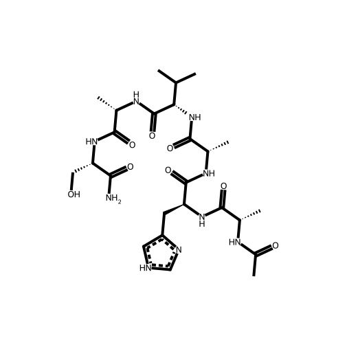 CC(=O)N[C@@H](C)C(=O)N[C@@H](Cc1c[nH]cn1)C(=O)N[C@@H](C)C(=O)N[C@H](C(=O)N[C@@H](C)C(=O)N[C@@H](CO)C(N)=O)C(C)C